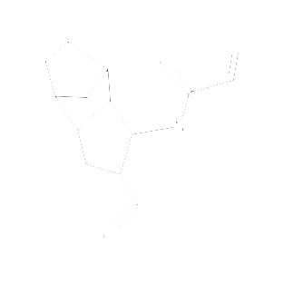 C=CC(=O)NC1C(C=O)CC2C3CCC(C3)C21